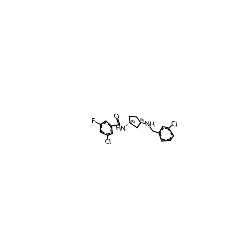 O=C(N[C@@H]1CC[C@@H](NCc2cccc(Cl)c2)C1)c1cc(F)cc(Cl)c1